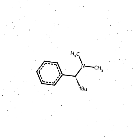 CN(C)[C@@H](c1ccccc1)C(C)(C)C